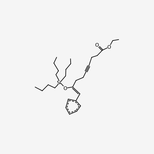 CCCC[Si](CCCC)(CCCC)O/C(=C\c1ccccc1)CCC#CCCC(=O)OCC